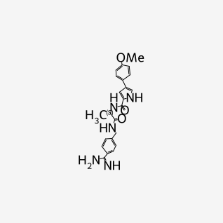 COc1ccc(-c2c[nH]c(C(=O)N[C@@H](C)C(=O)NCc3ccc(C(=N)N)cc3)c2)cc1